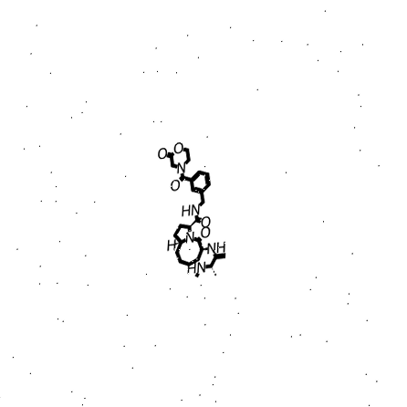 C=C(N[C@H]1CCCC[C@H]2CC[C@@H](C(=O)NCc3cccc(C(=O)N4CCOC(=O)C4)c3)N2C1=O)[C@H](C)NC